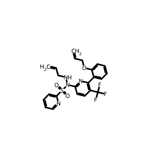 C=CCNN(c1ccc(C(F)(F)F)c(-c2ccccc2OCC=C)n1)S(=O)(=O)c1ccccn1